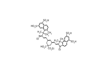 CC/N=C(\C=C\C1=CC(=C/C=C2/N(CC)c3ccc4c(S(=O)(=O)O)cc(S(=O)(=O)O)cc4c3C2(C)C)/CC(C(=O)O)(C(=O)OCC)C1)C(C)(C)c1c(C)ccc2c(S(=O)(=O)O)cc(S(=O)(=O)O)cc12